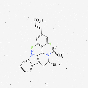 C=C(CC)N1C(CC)Cc2c([nH]c3ccccc23)C1c1c(F)cc(/C=C/C(=O)O)cc1F